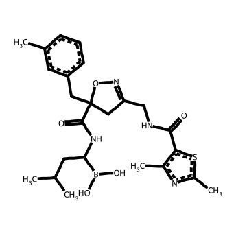 Cc1cccc(CC2(C(=O)NC(CC(C)C)B(O)O)CC(CNC(=O)c3sc(C)nc3C)=NO2)c1